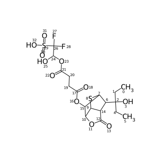 CCC(O)(CC)C1C2SC3C(OC(=O)C31)C2OC(=O)CCC(=O)OC(O)C(F)(F)S(=O)(=O)O